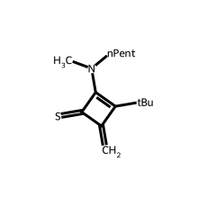 C=C1C(=S)C(N(C)CCCCC)=C1C(C)(C)C